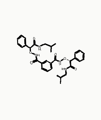 CC(C)CNC(=O)C(ONC(=O)c1cccc(C(=O)NO[C@@H](C(=O)NCC(C)C)c2ccccc2)c1)c1ccccc1